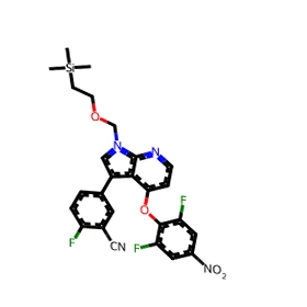 C[Si](C)(C)CCOCn1cc(-c2ccc(F)c(C#N)c2)c2c(Oc3c(F)cc([N+](=O)[O-])cc3F)ccnc21